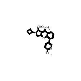 Cc1ccc(-c2cccc3c(N)c4c(nc23)CN(C2CCC2)C4C=O)cn1